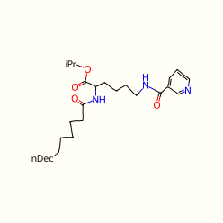 CCCCCCCCCCCCCCCC(=O)NC(CCCCNC(=O)c1cccnc1)C(=O)OC(C)C